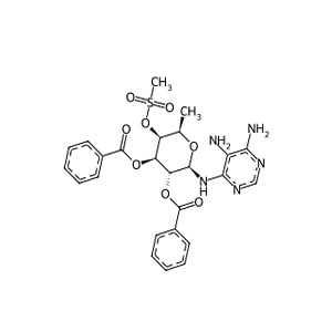 C[C@H]1O[C@@H](Nc2ncnc(N)c2N)[C@H](OC(=O)c2ccccc2)[C@@H](OC(=O)c2ccccc2)[C@H]1OS(C)(=O)=O